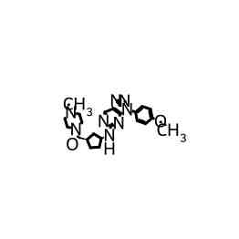 COc1ccc(-n2nnc3cnc(N[C@@H]4CC[C@@H](C(=O)N5CCN(C)CC5)C4)nc32)cc1